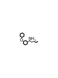 C=CCCC(N)c1cccc(Oc2ccccc2)c1